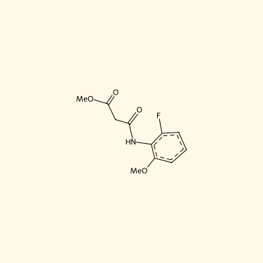 COC(=O)CC(=O)Nc1c(F)cccc1OC